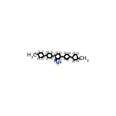 Cc1ccc(-c2ccc(-c3ccc(-c4ccc(-c5ccc(C)cc5)cc4)c4nsnc34)cc2)cc1